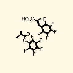 C=C(C)C(=O)Oc1c(F)c(F)c(F)c(F)c1F.CC(=Cc1c(F)c(F)c(F)c(F)c1F)C(=O)O